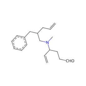 C=CCC(Cc1ccccc1)CN(C)C(C=C)CCC=O